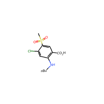 CCCCNc1cc(Cl)c(S(C)(=O)=O)cc1C(=O)O